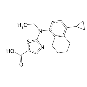 CCN(c1ncc(C(=O)O)s1)c1ccc(C2CC2)c2c1CCCC2